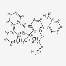 C=CCCc1c(-c2ccccc2C)ccc2c1C(C)(C)c1c3c(c4c(c1-2)C=CCC4)CCC#C3